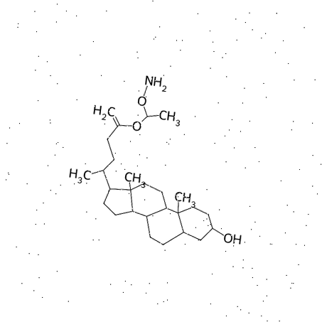 C=C(CCC(C)C1CCC2C3CCC4CC(O)CCC4(C)C3CCC12C)OC(C)ON